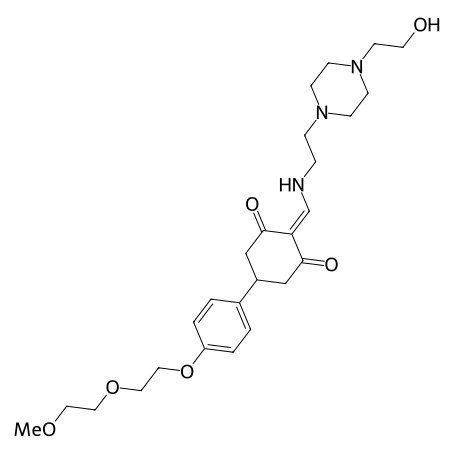 COCCOCCOc1ccc(C2CC(=O)C(=CNCCN3CCN(CCO)CC3)C(=O)C2)cc1